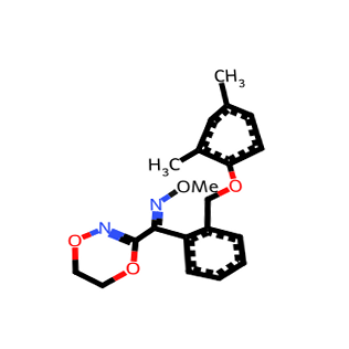 CON=C(C1=NOCCO1)c1ccccc1COc1ccc(C)cc1C